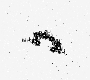 COC(=O)N[C@@H](C(=O)N1CCC[C@H]1C(=O)Nc1cc(C)c2oc(-c3ccc(NC(=O)[C@@H]4CCCN4C(=O)[C@](C)(OC(N)=O)c4ccccc4)cc3)cc2c1)c1ccccc1